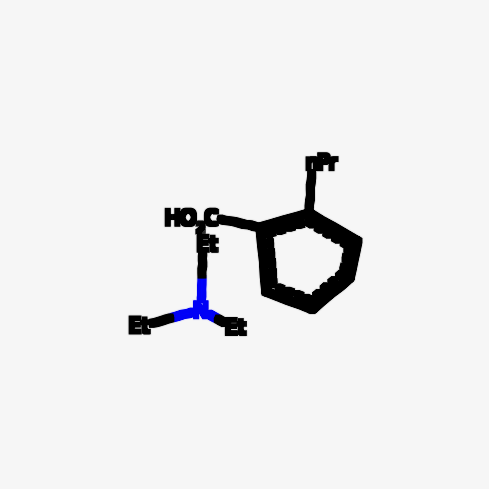 CCCc1ccccc1C(=O)O.CCN(CC)CC